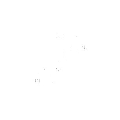 Cc1ccncc1C=CCNC1CCNCC1